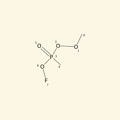 COOP(C)(=O)OF